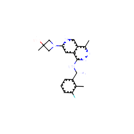 Cc1c(F)cccc1[C@@H](N)Nc1nnc(C)c2cnc(N3CC(C)(O)C3)cc12